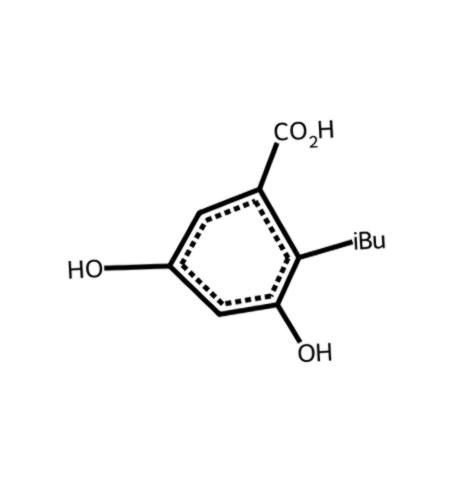 CCC(C)c1c(O)cc(O)cc1C(=O)O